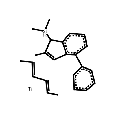 CC1=Cc2c(-c3ccccc3)cccc2C1[SiH](C)C.CC=CC=CC.[Ti]